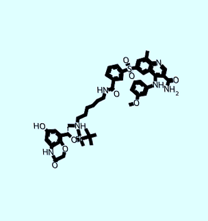 COc1cccc(Nc2c(C(N)=O)cnc3c(C)cc(S(=O)(=O)c4cccc(C(=O)NCCCCCCNC[C@H](O[Si](C)(C)C(C)(C)C)c5cc(O)cc6c5OCC(=O)N6)c4)cc23)c1